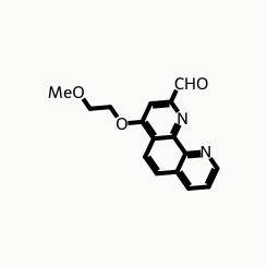 COCCOc1cc(C=O)nc2c1ccc1cccnc12